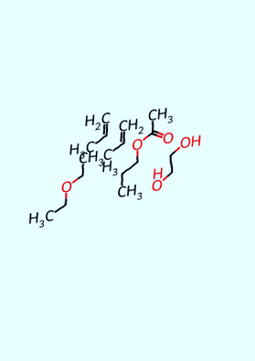 C=CC.C=CC.CCCOC(C)=O.CCOCC.OCCO